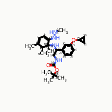 CNNC1=CC=C(C)[C@H](C)[C@@]1(C)NC(CNC(=O)OC(C)(C)C)c1cccc(OC2CC2)c1